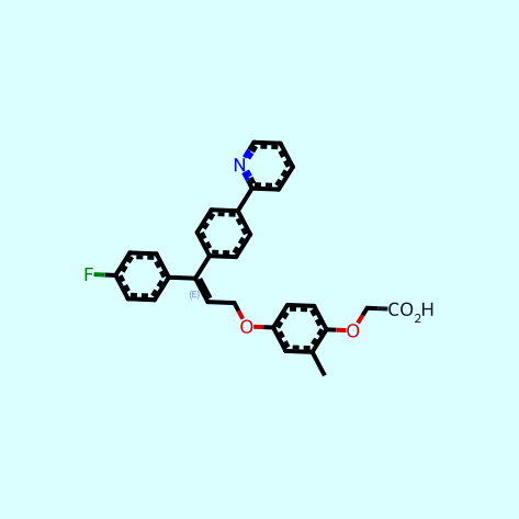 Cc1cc(OC/C=C(/c2ccc(F)cc2)c2ccc(-c3ccccn3)cc2)ccc1OCC(=O)O